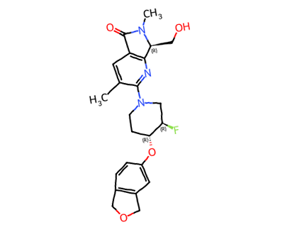 Cc1cc2c(nc1N1CC[C@@H](Oc3ccc4c(c3)COC4)[C@H](F)C1)[C@H](CO)N(C)C2=O